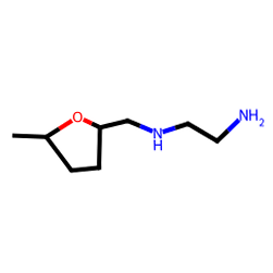 CC1CCC(CNCCN)O1